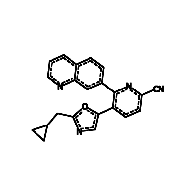 N#Cc1ccc(-c2cnc(CC3CC3)o2)c(-c2ccc3cccnc3c2)n1